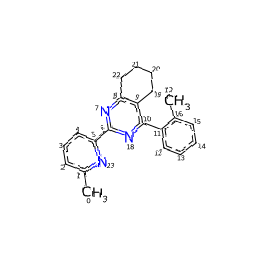 Cc1cccc(-c2nc3c(c(-c4ccccc4C)n2)CCCC3)n1